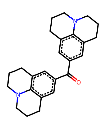 O=C(c1cc2c3c(c1)CCCN3CCC2)c1cc2c3c(c1)CCCN3CCC2